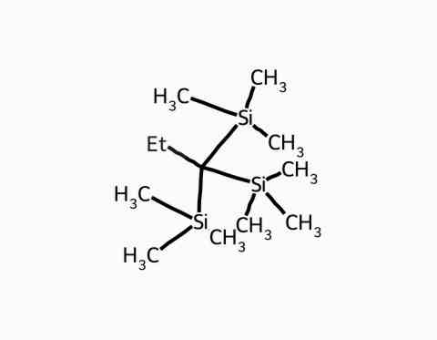 [CH2]CC([Si](C)(C)C)([Si](C)(C)C)[Si](C)(C)C